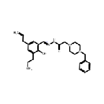 C=CCc1cc(/C=N/NC(=O)CN2CCN(Cc3ccccc3)CC2)c(O)c(CCC)c1